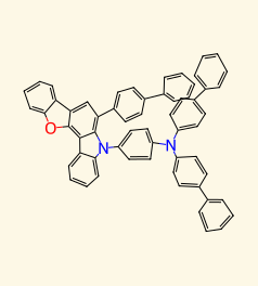 c1ccc(-c2ccc(-c3cc4c5ccccc5oc4c4c5ccccc5n(-c5ccc(N(c6ccc(-c7ccccc7)cc6)c6ccc(-c7ccccc7)cc6)cc5)c34)cc2)cc1